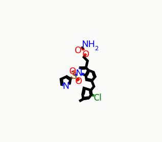 Cc1ccc(Cc2ccc3c(CCOC(N)=O)cn(S(=O)(=O)c4cccnc4)c3c2)c(Cl)c1